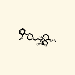 CON=C1CCC[N+]2([O-])C(CCN3CCN(c4ccccc4OC)CC3)[N+](=O)C3=CC12CS3